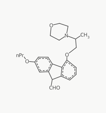 CCCOc1ccc2c(c1)C(C=O)c1cccc(OCC(C)N3CCOCC3)c1-2